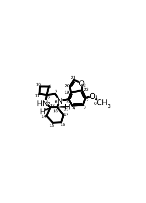 COc1ccc(N2CC3(CCC3)N[C@H]3CCCC[C@H]32)c2ccoc12